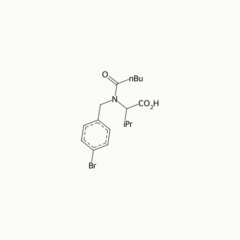 CCCCC(=O)N(Cc1ccc(Br)cc1)C(C(=O)O)C(C)C